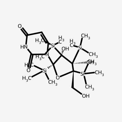 C[Si](C)(C)[C@@]1(O)[C@@](O)([Si](C)(C)C)[C@](CO)([Si](C)(C)C)O[C@]1(n1ccc(=O)[nH]c1=O)[Si](C)(C)C